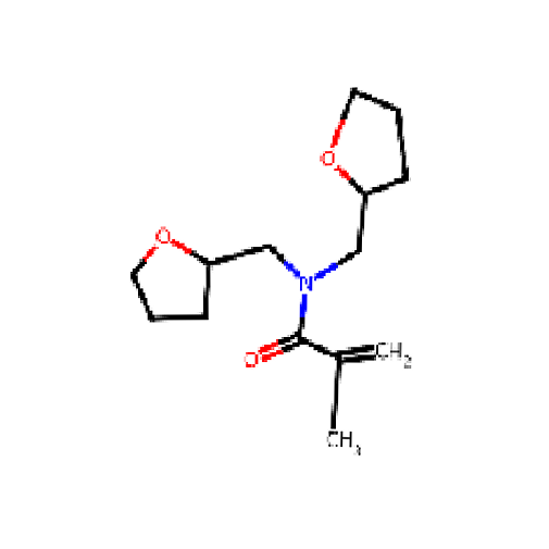 C=C(C)C(=O)N(CC1CCCO1)CC1CCCO1